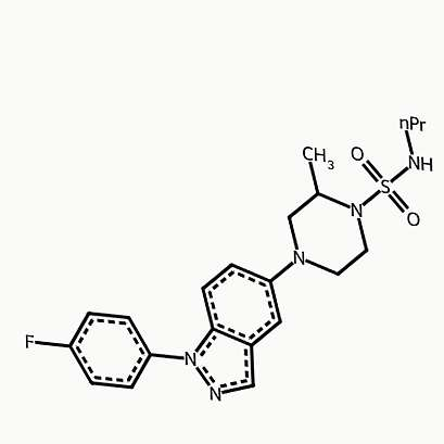 CCCNS(=O)(=O)N1CCN(c2ccc3c(cnn3-c3ccc(F)cc3)c2)CC1C